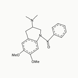 COc1cc2c(cc1OC)N(C(=O)c1ccccc1)CC(N(C)C)C2